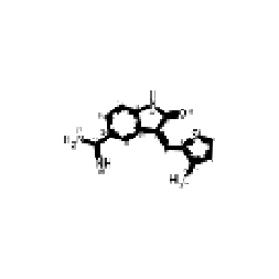 Cc1ccsc1C=C1C(=O)Nc2ccc(C(=N)N)cc21